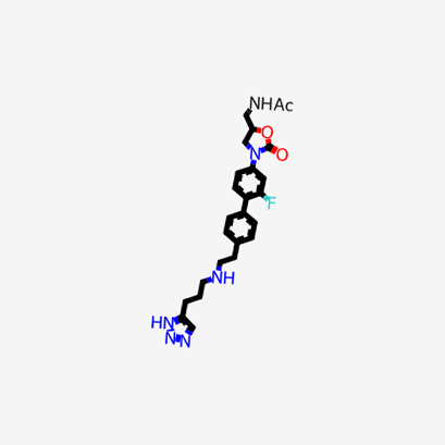 CC(=O)NCC1CN(c2ccc(-c3ccc(CCNCCCc4cnn[nH]4)cc3)c(F)c2)C(=O)O1